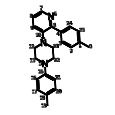 Cc1ccc(-c2ncccc2N2CCN(c3ccc(C)cc3)CC2)cc1